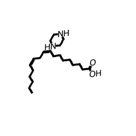 C1CNCCN1.CCCCC/C=C\C/C=C\CCCCCCCC(=O)O